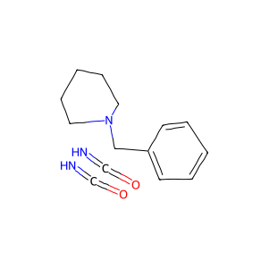 N=C=O.N=C=O.c1ccc(CN2CCCCC2)cc1